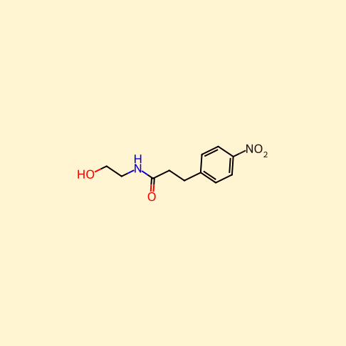 O=C(CCc1ccc([N+](=O)[O-])cc1)NCCO